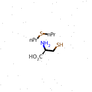 CCCSCCC.N[C@@H](CS)C(=O)O